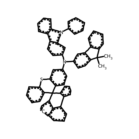 CC1(C)c2ccccc2-c2cc(N(c3ccc4c(c3)Sc3ccccc3C43c4ccccc4-c4cccc5cccc3c45)c3ccc4c5ccccc5n(-c5ccccc5)c4c3)ccc21